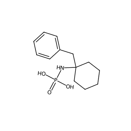 O=P(O)(O)NC1(Cc2ccccc2)CCCCC1